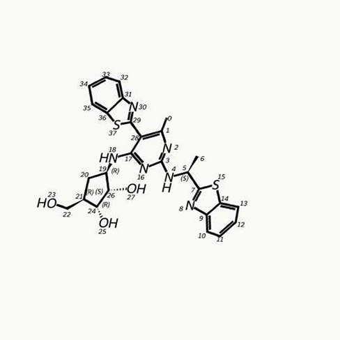 Cc1nc(N[C@@H](C)c2nc3ccccc3s2)nc(N[C@@H]2C[C@H](CO)[C@@H](O)[C@H]2O)c1-c1nc2ccccc2s1